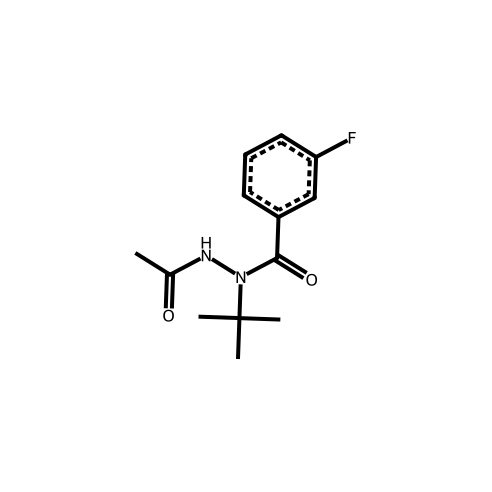 CC(=O)NN(C(=O)c1cccc(F)c1)C(C)(C)C